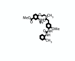 COC(=O)c1ccc(OCCN(C)C(=O)Cc2ccc(NC(=O)Nc3ccccc3C)c(OC)c2)c(NC(C)C)c1